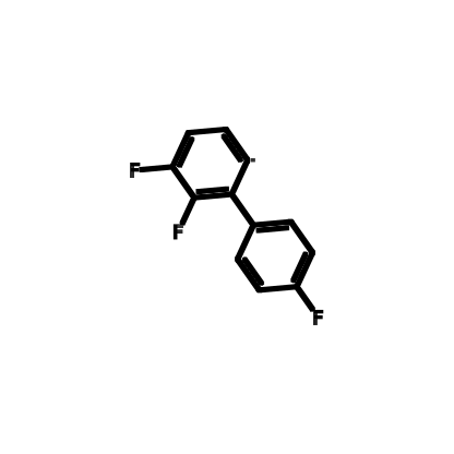 Fc1ccc(-c2[c]ccc(F)c2F)cc1